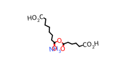 N.O=C(O)CCCCCCC(=O)OC(=O)CCCCC(=O)O